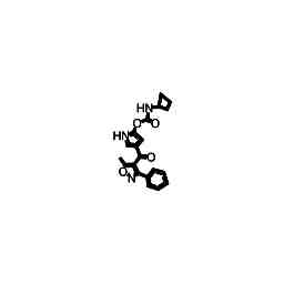 Cc1onc(-c2ccccc2)c1C(=O)c1c[nH]c(OC(=O)NC2CCC2)c1